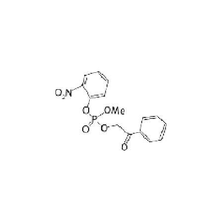 COP(=O)(OCC(=O)c1ccccc1)Oc1ccccc1[N+](=O)[O-]